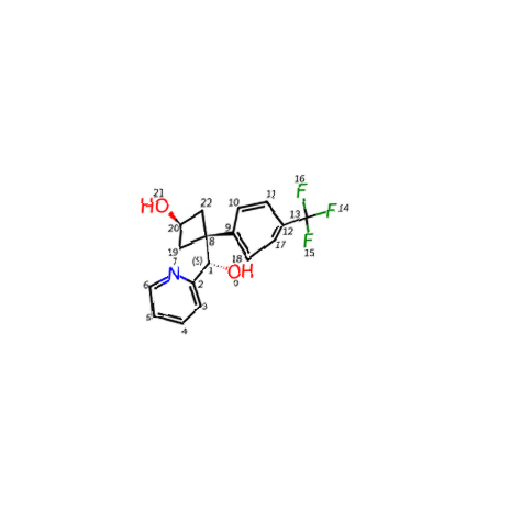 O[C@H](c1ccccn1)[C@]1(c2ccc(C(F)(F)F)cc2)C[C@@H](O)C1